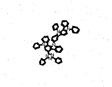 c1ccc(-c2nc(-c3ccccc3)nc(-c3cc4c(c5ccccc5n4-c4ccccc4)c4c3c3ccccc3n4-c3ccc4c(c3)c3ccc5c(c6ccccc6n5-c5ccccc5)c3n4-c3ccccc3)n2)cc1